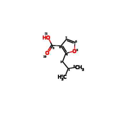 CC(C)Cc1occc1C(=O)O